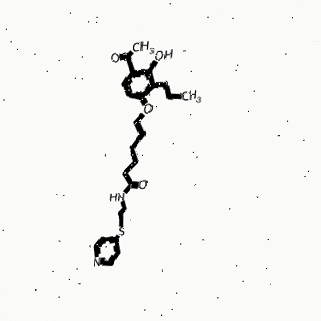 CCCc1c(OCCCCCC(=O)NCCSc2ccncc2)ccc(C(C)=O)c1O